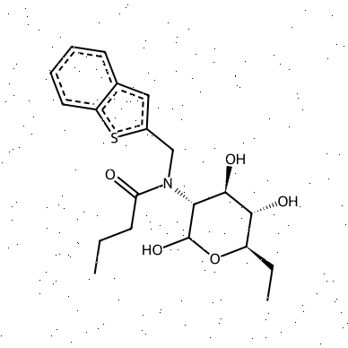 CCCC(=O)N(Cc1cc2ccccc2s1)[C@H]1C(O)O[C@H](CC)[C@@H](O)[C@@H]1O